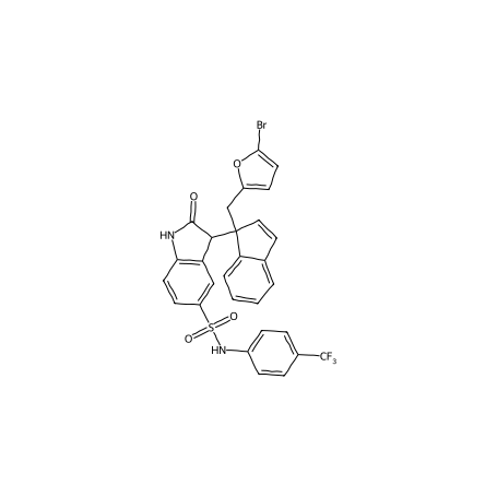 O=C1Nc2ccc(S(=O)(=O)Nc3ccc(C(F)(F)F)cc3)cc2C1C1(Cc2ccc(Br)o2)C=Cc2ccccc21